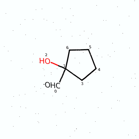 O=[C]C1(O)CCCC1